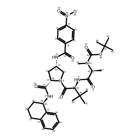 C[C@@H](C(=O)N[C@H](C(=O)N1C[C@@H](NC(=O)c2ccc([N+](=O)[O-])cc2)C[C@H]1C(=O)N[C@@H]1CCCc2ccccc21)C(C)(C)C)N(C)C(=O)OC(C)(C)C